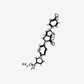 CNC1CCN(c2ccc(N3CC4=C[C@@H](c5ccc(Cl)cc5)N=C4C3=O)cn2)C1